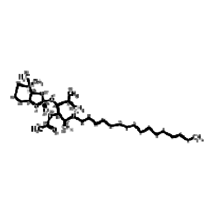 CCCCCCCCCCCCCCCCOC(C)C(OC(C)=O)C(OP1(=O)OC2CCC[N+](C)(C)C2O1)C(C)C